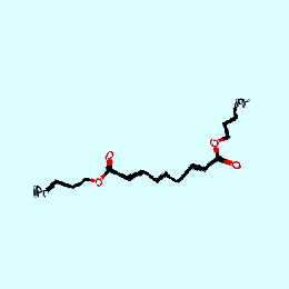 CC(C)CCCOC(=O)CCCCCCCC(=O)OCCCC(C)C